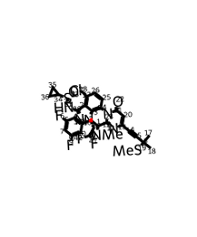 CNC(Cc1cc(F)cc(F)c1)c1nc(C#CC(C)(C)SC)cc(=O)n1-c1ccc(Cl)c2c(N[S+]([O-])C3CC3)nn(CC(F)F)c12